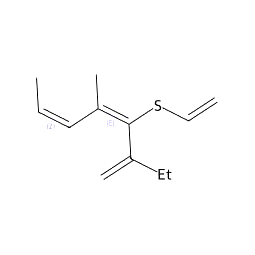 C=CS/C(C(=C)CC)=C(C)/C=C\C